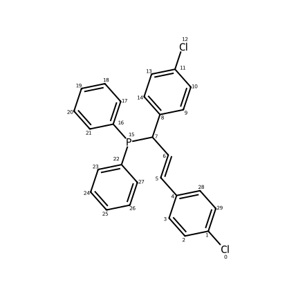 Clc1ccc(C=CC(c2ccc(Cl)cc2)P(c2ccccc2)c2ccccc2)cc1